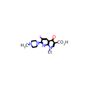 CCn1cc(C(=O)O)c(=O)c2cc(I)c(N3CCN(C)CC3)nc21